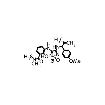 C=C(C)C(NC1=NS(=O)(=O)N=C1Nc1cccc(C(=O)N(C)C)c1O)c1ccc(OC)cc1